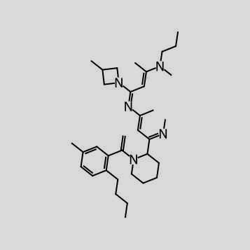 C=C(c1cc(C)ccc1CCCC)N1CCCCC1C(/C=C(C)/N=C(\C=C(/C)N(C)CCC)N1CC(C)C1)=N/C